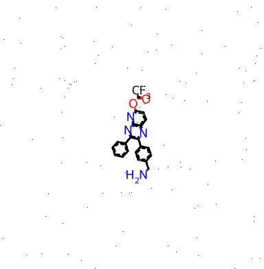 NCc1ccc(-c2nc3ccc(OC(=O)C(F)(F)F)nc3nc2-c2ccccc2)cc1